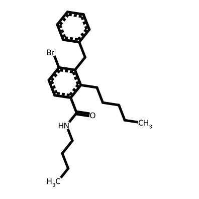 CCCCCc1c(C(=O)NCCCC)ccc(Br)c1Cc1ccccc1